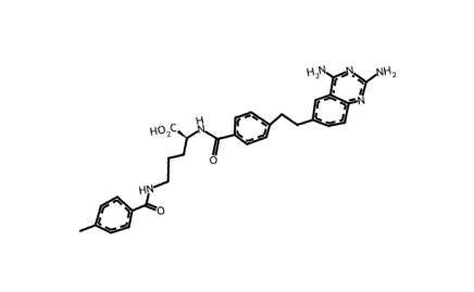 Cc1ccc(C(=O)NCCC[C@H](NC(=O)c2ccc(CCc3ccc4nc(N)nc(N)c4c3)cc2)C(=O)O)cc1